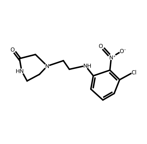 O=C1CN(CCNc2cccc(Cl)c2[N+](=O)[O-])CCN1